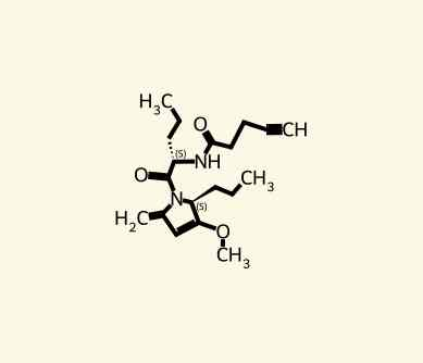 C#CCCC(=O)N[C@@H](CCC)C(=O)N1C(=C)C=C(OC)[C@@H]1CCC